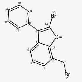 BrCc1cccc2c(-c3ccccc3)c(Br)oc12